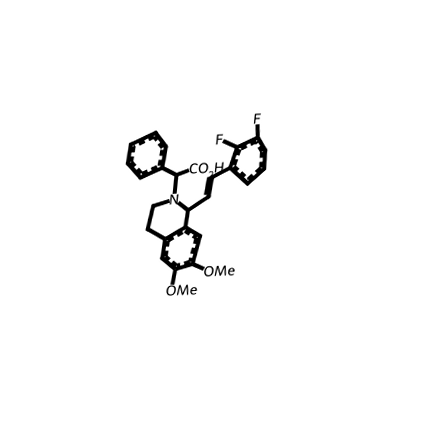 COc1cc2c(cc1OC)C(C=Cc1cccc(F)c1F)N(C(C(=O)O)c1ccccc1)CC2